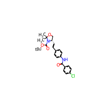 CC(C)(C)OC(=O)N1[C@@H](C=Cc2ccc(NC(=O)c3ccc(Cl)cc3)cc2)COC1(C)C